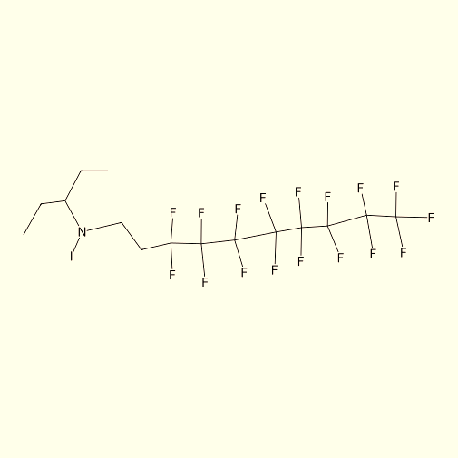 CCC(CC)N(I)CCC(F)(F)C(F)(F)C(F)(F)C(F)(F)C(F)(F)C(F)(F)C(F)(F)C(F)(F)F